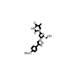 COc1ccc(-c2cn([C@H]3CC(n4cc(C)c(=O)[nH]c4=O)O[C@@H]3CO)nn2)cc1